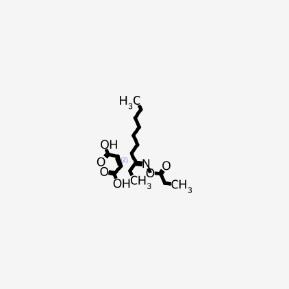 CCCCCCCC(CC)=NOC(=O)CC.O=C(O)/C=C\C(=O)O